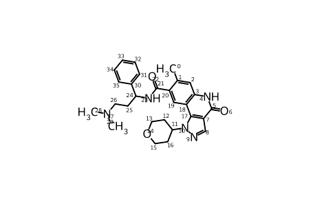 Cc1cc2[nH]c(=O)c3cnn(C4CCOCC4)c3c2cc1C(=O)NC(CCN(C)C)c1ccccc1